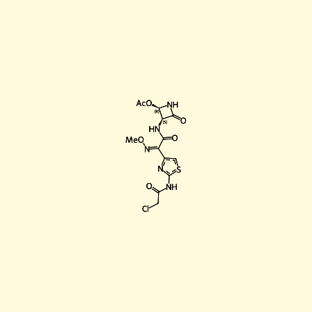 CON=C(C(=O)N[C@@H]1C(=O)N[C@@H]1OC(C)=O)c1csc(NC(=O)CCl)n1